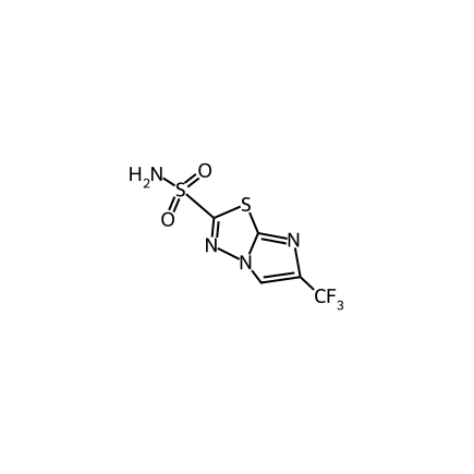 NS(=O)(=O)c1nn2cc(C(F)(F)F)nc2s1